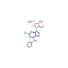 COC1C(O)[C@@H](CO)O[C@H]1n1cnc2c(NC3CCCC3)nc(Cl)nc21